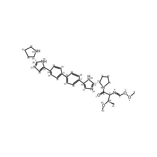 COO/C=N/C(C(=O)N1CCC[C@H]1c1ncc(-c2ccc(-c3ccc(-c4cnc([C@@H]5CCCN5)[nH]4)cc3)cc2)[nH]1)[C@@H](C)OC